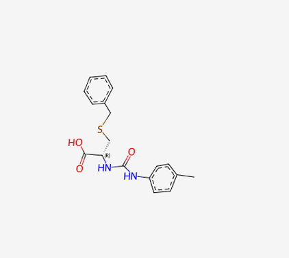 Cc1ccc(NC(=O)N[C@@H](CSCc2ccccc2)C(=O)O)cc1